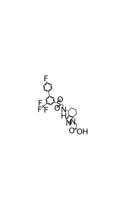 O=C(O)Cn1ncc2c1CCC[C@H]2NCS(=O)(=O)c1cc(-c2ccc(F)cc2)cc(C(F)(F)F)c1